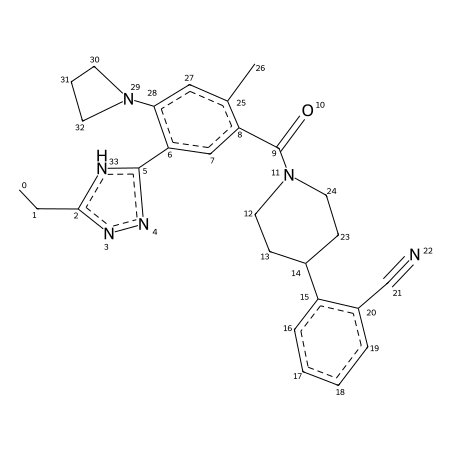 CCc1nnc(-c2cc(C(=O)N3CCC(c4ccccc4C#N)CC3)c(C)cc2N2CCC2)[nH]1